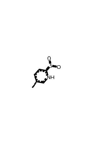 Cc1ccc(=S(=O)=O)[nH]c1